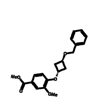 COC(=O)c1ccc(O[C@H]2C[C@H](OCc3ccccc3)C2)c(OC)c1